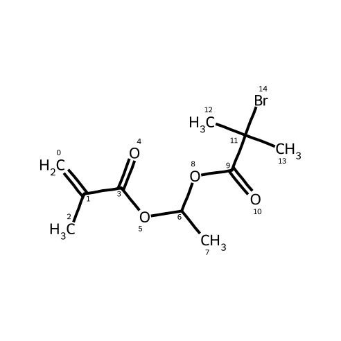 C=C(C)C(=O)OC(C)OC(=O)C(C)(C)Br